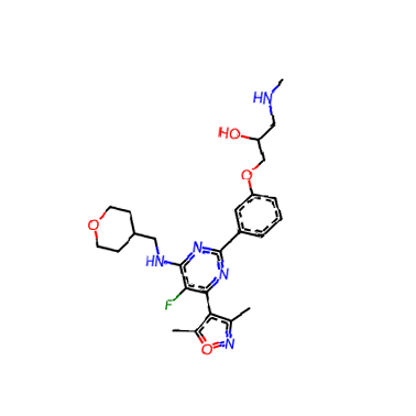 CNCC(O)COc1cccc(-c2nc(NCC3CCOCC3)c(F)c(-c3c(C)noc3C)n2)c1